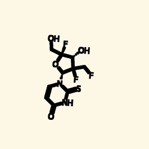 O=c1ccn([C@@H]2O[C@](F)(CO)[C@H](O)C2(F)CF)c(=S)[nH]1